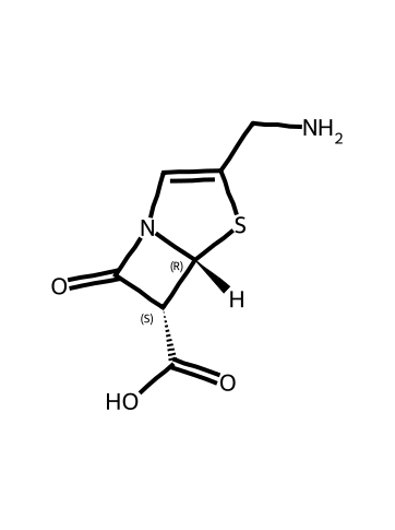 NCC1=CN2C(=O)[C@@H](C(=O)O)[C@H]2S1